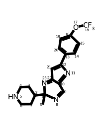 CC1(C2CCNCC2)N=CC2=NC(c3ccc(OC(F)(F)F)cc3)=CC2=N1